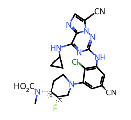 CN(C(=O)O)[C@@H]1CCN(c2cc(C#N)cc(Nc3nc(NC4CC4)c4ncc(C#N)n4n3)c2Cl)C[C@@H]1F